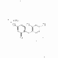 CCCCOc1ccn(Cc2ccc(Cl)cc2Cl)c(=O)c1